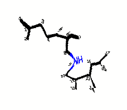 C=C(C)CCCC(=C)CNC[C@H](C)[C@H](C)CCC